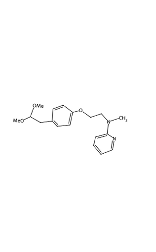 COC(Cc1ccc(OCCN(C)c2ccccn2)cc1)OC